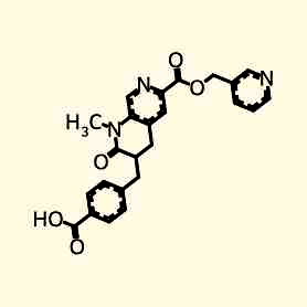 CN1C(=O)C(Cc2ccc(C(=O)O)cc2)Cc2cc(C(=O)OCc3cccnc3)ncc21